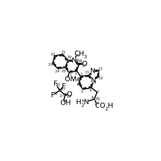 COc1c(-c2ccc(C[C@H](N)C(=O)O)n3ccnc23)c(=O)n(C)c2ccccc12.O=C(O)C(F)(F)F